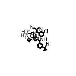 CC(C)(C)CNc1c(C#N)cnc2c(Cl)cc(NC(c3cccc(C4(C#N)CC4)c3)c3cn(C45CC(C4)C5)nn3)cc12